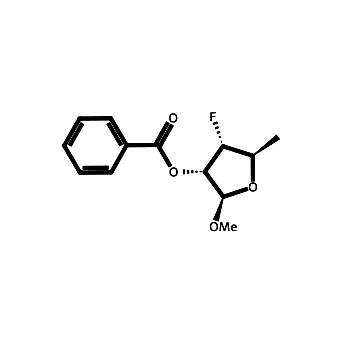 CO[C@@H]1O[C@H](C)[C@@H](F)[C@H]1OC(=O)c1ccccc1